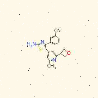 Cc1cc(-c2sc(N)nc2-c2cccc(C#N)c2)cc(C2COC2)n1